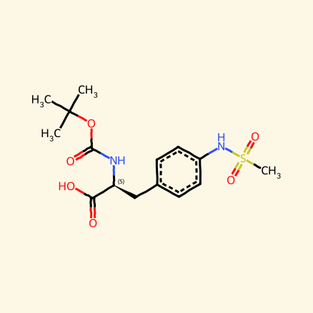 CC(C)(C)OC(=O)N[C@@H](Cc1ccc(NS(C)(=O)=O)cc1)C(=O)O